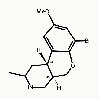 COc1cc(Br)c2c(c1)[C@H]1CC(C)NC[C@@H]1CO2